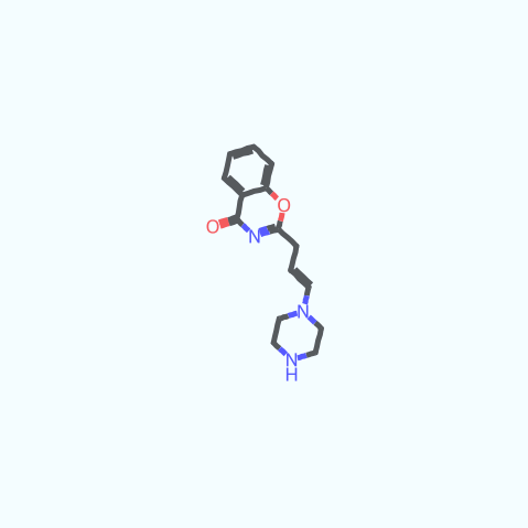 O=c1nc(C/C=C/N2CCNCC2)oc2ccccc12